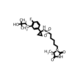 C[C@@H]1C(=O)NC(=O)N1CCCCCS(=O)(=O)NC1(c2ccc(F)c(OCC(C)(C)O)c2)CC1